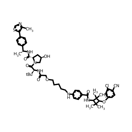 Cc1ncsc1-c1ccc([C@@H](C)NC(=O)[C@@H]2C[C@@H](O)CN2C(=O)[C@@H](NC(=O)COCCCCCNc2ccc(C(=O)NC3C(C)(C)C(Oc4ccc(C#N)c(Cl)c4)C3(C)C)cc2)C(C)(C)C)cc1